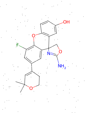 CC1(C)C=C(c2cc(F)c3c(c2)C2(COC(N)=N2)c2cc(O)ccc2O3)CCO1